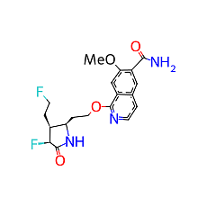 COc1cc2c(OCC[C@H]3NC(=O)[C@@H](F)[C@H]3CCF)nccc2cc1C(N)=O